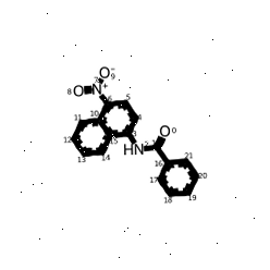 O=C(Nc1ccc([N+](=O)[O-])c2ccccc12)c1ccccc1